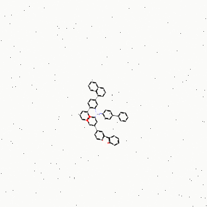 c1ccc(-c2ccc(N(c3cccc(-c4ccc5oc6ccccc6c5c4)c3)c3cc(-c4cccc5ccccc45)ccc3-c3ccccc3)cc2)cc1